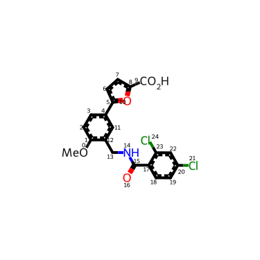 COc1ccc(-c2ccc(C(=O)O)o2)cc1CNC(=O)c1ccc(Cl)cc1Cl